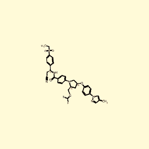 CCS(=O)(=O)c1ccc([C@H](CC#N)NC(=O)c2ccc(N3C[C@@H](Oc4ccc(-n5cc(C)cn5)cc4)C[C@H]3COC(F)F)cc2)cc1